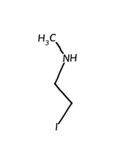 CNCCI